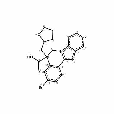 O=C(O)C1(CC2CCCO2)Cn2c(nc3ccccc32)-c2ccc(Br)cc21